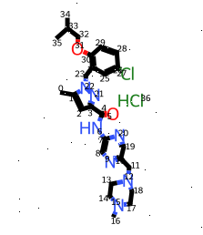 Cc1cc(C(=O)Nc2cnc(CN3CCN(C)CC3)cn2)nn1Cc1cc(Cl)ccc1OCC(C)C.Cl